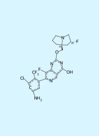 Nc1cc(Cl)c(C(F)(F)F)c(-c2ncc3c(O)nc(OC[C@@]45CCCN4C[C@H](F)C5)nc3c2F)c1